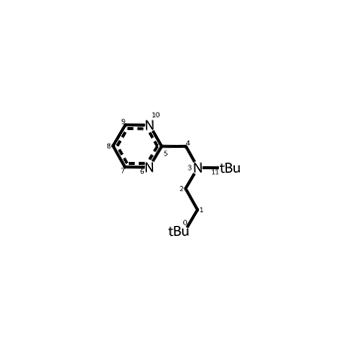 CC(C)(C)CCN(Cc1ncccn1)C(C)(C)C